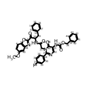 COc1ccc2oc(C(=O)C(Cc3ccccc3)NC(=O)Cn3c(-c4ccc(F)cc4)ncc(NC(=O)OCc4ccccc4)c3=O)nc2c1